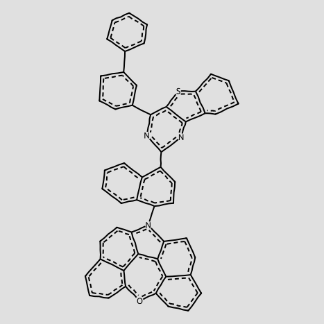 c1ccc(-c2cccc(-c3nc(-c4ccc(-n5c6ccc7cccc8oc9cccc%10ccc5c(c%109)c6c78)c5ccccc45)nc4c3sc3ccccc34)c2)cc1